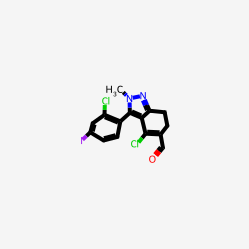 Cn1nc2c(c1-c1ccc(I)cc1Cl)C(Cl)=C(C=O)CC2